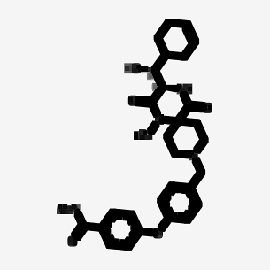 CCCCN1C(=O)[C@@H]([C@H](O)C2CC=CCC2)NC(=O)C12CCN(Cc1ccc(Oc3ccc(C(=O)NC)cc3)cc1)CC2